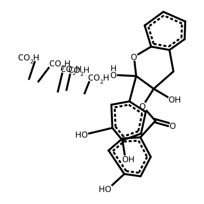 CC(=O)O.CC(=O)O.CC(=O)O.CC(=O)O.CC(=O)O.O=C(OC1(O)Cc2ccccc2OC1(O)c1ccc(O)c(O)c1)c1ccc(O)cc1